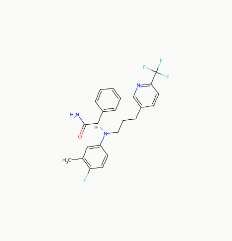 Cc1cc(N(CCCc2ccc(C(F)(F)F)nc2)[C@H](C(N)=O)c2ccccc2)ccc1F